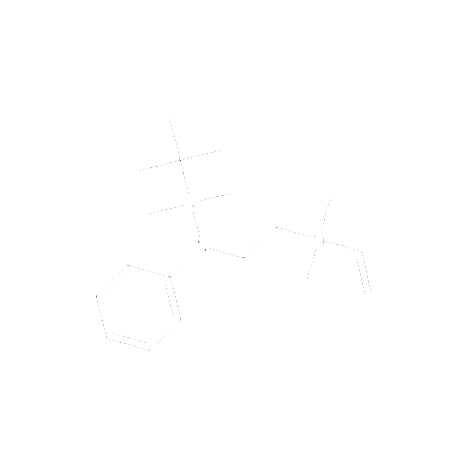 C=C[Si](C)(C)CCN(c1ccccc1)[Si](C)(C)C(C)(C)C